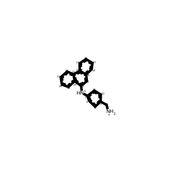 NCc1ccc(Nc2cc3ccccc3c3ccccc23)cc1